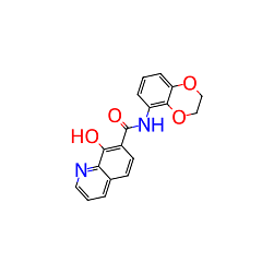 O=C(Nc1cccc2c1OCCO2)c1ccc2cccnc2c1O